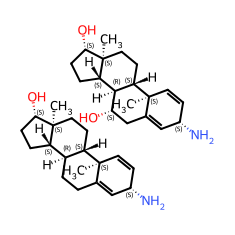 C[C@]12CC[C@H]3[C@@H](CCC4=C[C@@H](N)C=C[C@@]43C)[C@@H]1CC[C@@H]2O.C[C@]12CC[C@H]3[C@@H]([C@@H](O)CC4=C[C@@H](N)C=C[C@@]43C)[C@@H]1CC[C@@H]2O